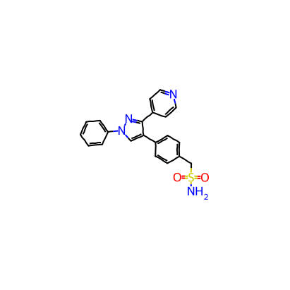 NS(=O)(=O)Cc1ccc(-c2cn(-c3ccccc3)nc2-c2ccncc2)cc1